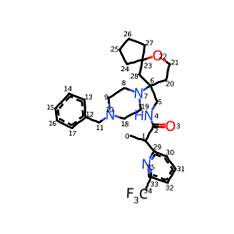 CC(C(=O)NCC1(N2CCN(Cc3ccccc3)CC2)CCOC2(CCCC2)C1)c1cccc(C(F)(F)F)n1